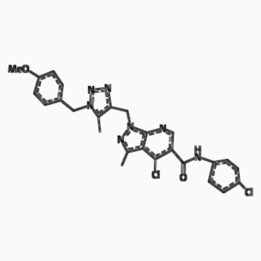 COc1ccc(Cn2nnc(Cn3nc(C)c4c(Cl)c(C(=O)Nc5ccc(Cl)cc5)cnc43)c2C)cc1